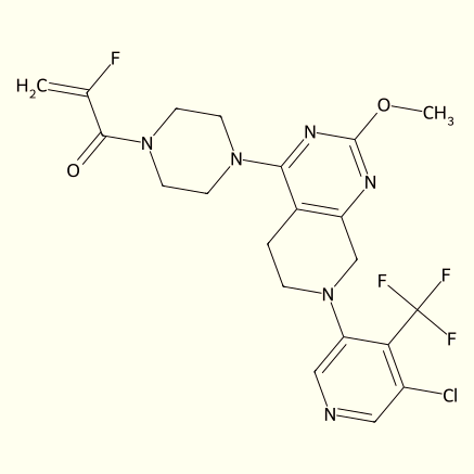 C=C(F)C(=O)N1CCN(c2nc(OC)nc3c2CCN(c2cncc(Cl)c2C(F)(F)F)C3)CC1